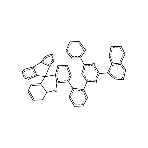 C1=CCC2Oc3c(-c4ccccc4-c4nc(-c5ccccc5)nc(-c5cccc6ccccc56)n4)cccc3C3(C2=C1)c1ccccc1-c1ccccc13